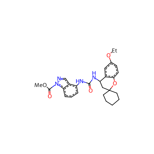 CCOc1ccc2c(c1)C(NC(=O)Nc1cccc3c1cnn3C(=O)OC)CC1(CCCCC1)O2